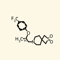 C[C@H](CN1CCC2(CC1)CS(=O)(=O)C2)Oc1ccc(C(F)(F)F)cc1